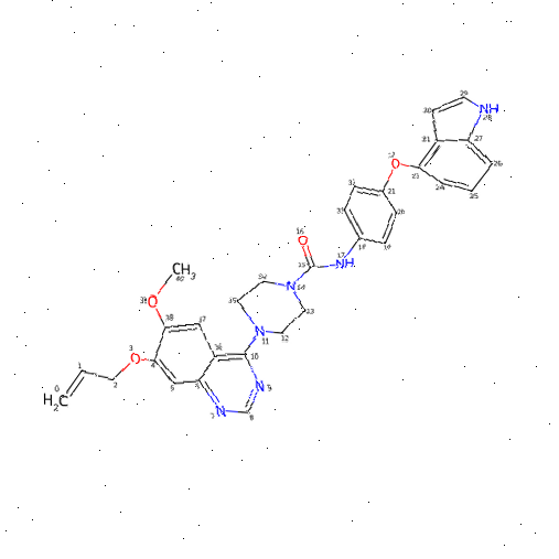 C=CCOc1cc2ncnc(N3CCN(C(=O)Nc4ccc(Oc5cccc6[nH]ccc56)cc4)CC3)c2cc1OC